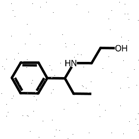 CCC(NCCO)c1ccccc1